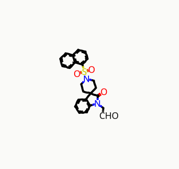 O=CCN1C(=O)C2(CCN(S(=O)(=O)c3cccc4ccccc34)CC2)c2ccccc21